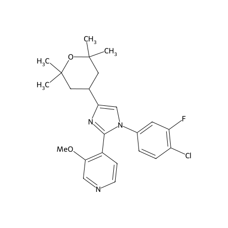 COc1cnccc1-c1nc(C2CC(C)(C)OC(C)(C)C2)cn1-c1ccc(Cl)c(F)c1